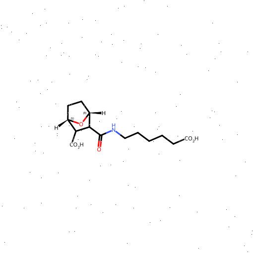 O=C(O)CCCCCNC(=O)C1C(C(=O)O)[C@@H]2CC[C@H]1O2